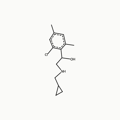 Cc1cc(C)c(C(O)CNCC2CC2)c(Cl)c1